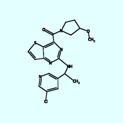 COC1CCN(C(=O)c2nc(NC(C)c3cncc(Cl)c3)nc3ccsc23)C1